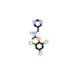 CC(NCc1cncnc1)Oc1c(Cl)cc(Cl)cc1Cl